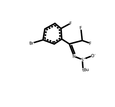 CC(C)(C)[S+]([O-])/N=C(/c1cc(Br)ccc1F)C(F)F